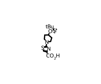 CC(C)(C)[Si](C)(C)OC1CCN(c2nc(C(=O)O)cs2)CC1